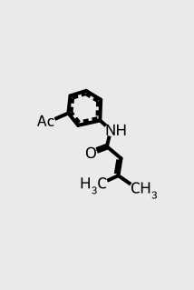 CC(=O)c1cccc(NC(=O)C=C(C)C)c1